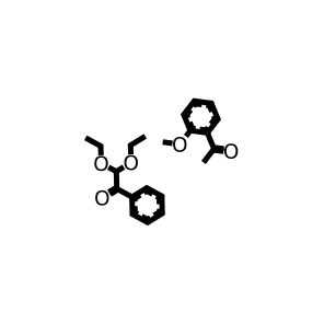 CCOC(OCC)C(=O)c1ccccc1.COc1ccccc1C(C)=O